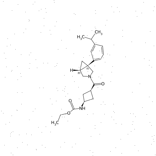 CCOC(=O)N[C@H]1C[C@@H](C(=O)N2C[C@@H]3C[C@]3(c3cccc(C(C)C)c3)C2)C1